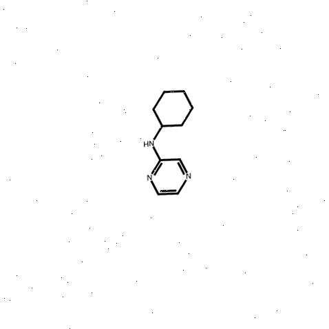 c1cnc(NC2CCCCC2)cn1